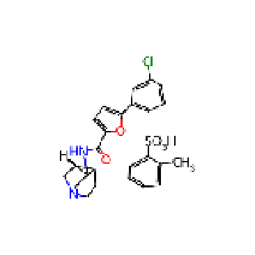 Cc1ccccc1S(=O)(=O)O.O=C(N[C@H]1CN2CCC1CC2)c1ccc(-c2cccc(Cl)c2)o1